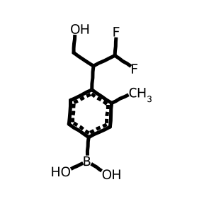 Cc1cc(B(O)O)ccc1C(CO)C(F)F